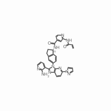 C=CC(=O)Nc1cc(C(=O)N[C@H]2CCc3cc(-n4c(-c5cccnc5N)nc5ccc(-n6cccn6)nc54)ccc32)ccn1